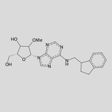 COC1C(O)[C@@H](CO)O[C@H]1n1cnc2c(NCC3CCc4ccccc43)ncnc21